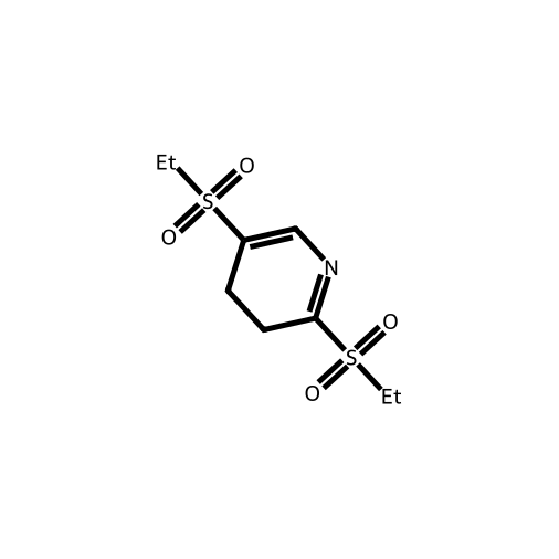 CCS(=O)(=O)C1=CN=C(S(=O)(=O)CC)CC1